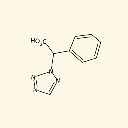 O=C(O)C(c1ccccc1)n1ncnn1